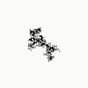 CC[C@H](C)[C@H](NC(=O)[C@@H](CCCNC(=N)N)NC(=O)[C@H](CC(C)C)NC(=O)[C@@H](NC(=O)OC(C)(C)C)[C@H](O)C(C)C)C(=O)N[C@H](C(=O)NCC(=O)N[C@H](C(=O)N[C@@H](COC(=O)C(F)(F)F)C(=O)O)[C@H](O)C(N)=O)[C@H](C)O